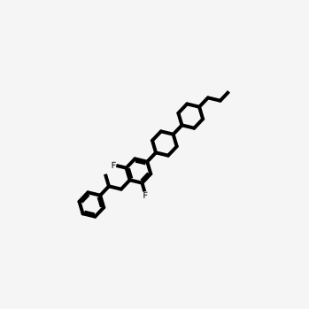 CCCC1CCC(C2CCC(c3cc(F)c(CC(C)c4ccccc4)c(F)c3)CC2)CC1